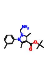 CC1=C(C(=O)OC(C)(C)C)C(C)N(CN)N1c1cccc(C)c1